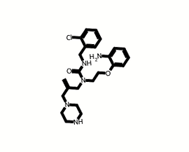 C=C(CN1CCNCC1)CN(CCOc1ccccc1N)C(=O)NCc1ccccc1Cl